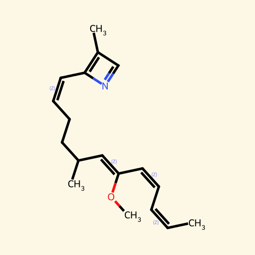 C\C=C/C=C\C(=C\C(C)CC/C=C\C1=C(C)C=N1)OC